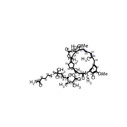 COc1cc2cc(c1Cl)N(C)C(=O)C[C@H](OC(=O)[C@H](C)N(C)C(=O)CCC(C)(C)SSCCCC(N)=O)[C@]1(C)CCC(C)(C1)[C@@H]1C[C@@](O)(NC(=O)O1)[C@H](OC)/C=C/C=C(\C)C2